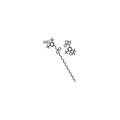 CC(C(=O)O)c1cc(C(C)(C)C)c(O)c(C(C)(C)C)c1.CCCCCCCCCCCCCCCCCCOC(=O)CCc1cc(C(C)(C)C)c(O)c(C(C)(C)C)c1